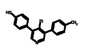 CCc1c(-c2ccc(C)cc2)cncc1-c1ccc(O)cc1